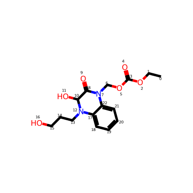 CCOC(=O)OCN1C(=O)C(O)N(CCCO)c2ccccc21